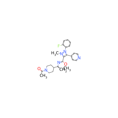 C=C(/N=C(\OC)c1c(-c2ccncc2)n(-c2ccccc2F)n1C)C1CCN(C(C)=O)CC1